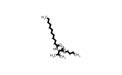 CCCCCCCCCCCC(=O)N[C@H](C(=O)NCCCC)C(C)C